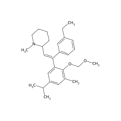 CCc1cccc(C(=CC2CCCCN2C)c2cc(C(C)C)cc(C)c2OCOC)c1